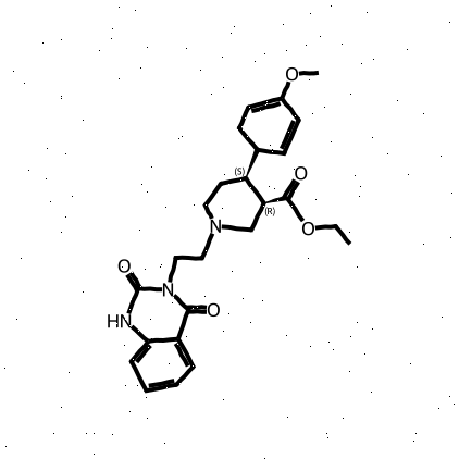 CCOC(=O)[C@H]1CN(CCn2c(=O)[nH]c3ccccc3c2=O)CC[C@H]1C1C=CC(OC)=CC1